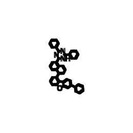 c1ccc(C2=NC(c3cccc4c(-c5cccc6oc7cc(-c8ccccc8)ccc7c56)cccc34)NC(c3ccccc3)=N2)cc1